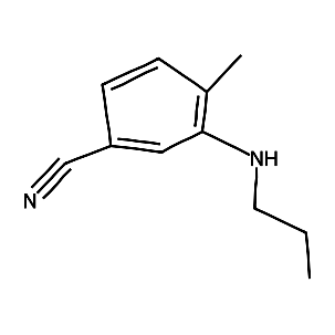 CCCNc1cc(C#N)ccc1C